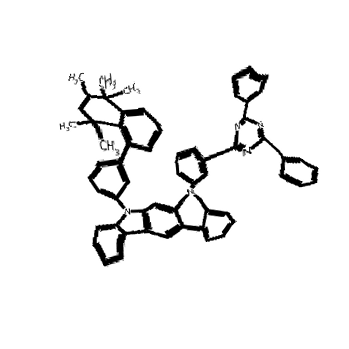 CC1CC(C)(C)c2c(-c3cccc(-n4c5ccccc5c5cc6c7ccccc7n(-c7cccc(-c8nc(-c9ccccc9)nc(-c9ccccc9)n8)c7)c6cc54)c3)cccc2C1(C)C